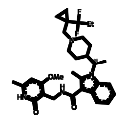 CCC(F)(F)C1(CN2CCC([C@@H](C)n3c(C)c(C(=O)NCc4c(OC)cc(C)[nH]c4=O)c4ccccc43)CC2)CC1